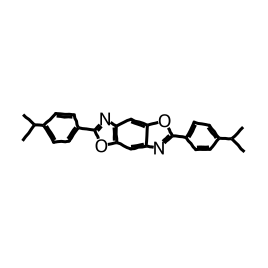 CC(C)c1ccc(-c2nc3cc4oc(-c5ccc(C(C)C)cc5)nc4cc3o2)cc1